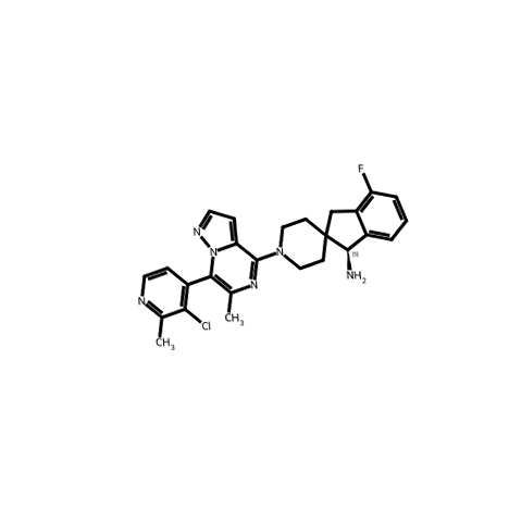 Cc1nccc(-c2c(C)nc(N3CCC4(CC3)Cc3c(F)cccc3[C@H]4N)c3ccnn23)c1Cl